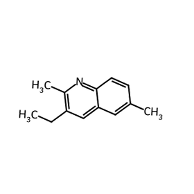 CCc1cc2cc(C)ccc2nc1C